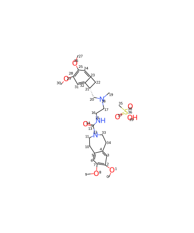 COc1cc2c(cc1OC)CCN(C(=O)NCCN(C)C[C@H]1Cc3cc(OC)c(OC)cc31)CC2.CS(=O)(=O)O